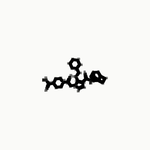 O=C(NC1C2CC=C3C(C2)CC31)c1cnn(CC(=O)N2CCC(C(=O)O)CC2)c1OCC1CCCCC1